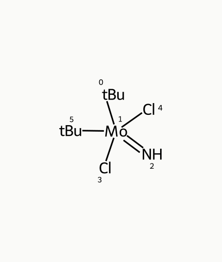 C[C](C)(C)[Mo](=[NH])([Cl])([Cl])[C](C)(C)C